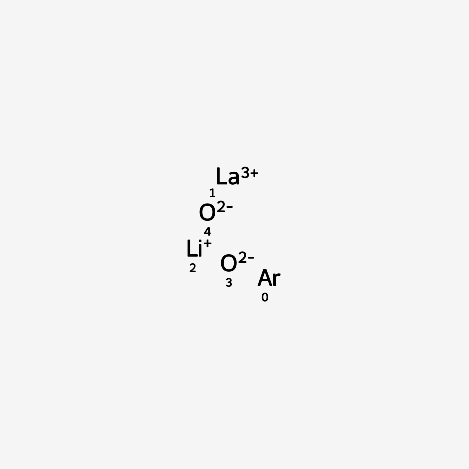 [Ar].[La+3].[Li+].[O-2].[O-2]